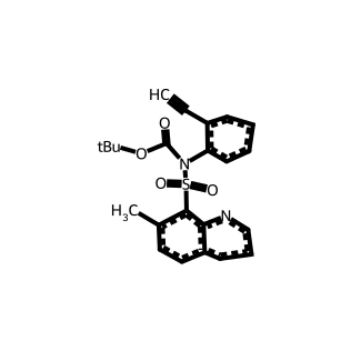 C#Cc1ccccc1N(C(=O)OC(C)(C)C)S(=O)(=O)c1c(C)ccc2cccnc12